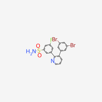 NS(=O)(=O)c1cc(F)cc(-c2ncccc2-c2cc(Br)cc(Br)c2)c1